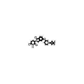 O=C1CC[C@H](N2Cc3cc(O[C@@H]4CCCN(C5CC(F)(F)C5)C4)ccc3C2=O)C(=O)N1